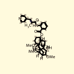 CCN1C[C@]2(OC(=O)c3ccccc3NC(=O)/C(C)=C/c3ccncc3)CC[C@H](OC)[C@]34C1[C@@H](C[C@H]23)[C@@]1(O)C[C@H](OC)[C@H]2C[C@@H]4C1(O)[C@H]2OC